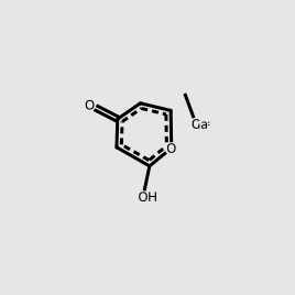 O=c1ccoc(O)c1.[CH3][Ga]